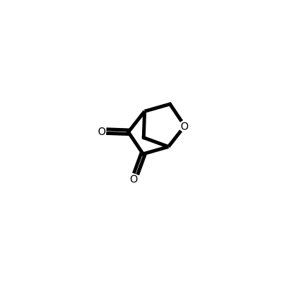 O=C1C(=O)C2CC1CO2